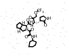 O=C(NC1CCCCC1)C(=O)N1C[C@@H]2CCC[C@@H]2[C@H]1C(=O)N[C@@H](C[C@@H]1CCNC1=O)C(=O)COC(F)(F)F